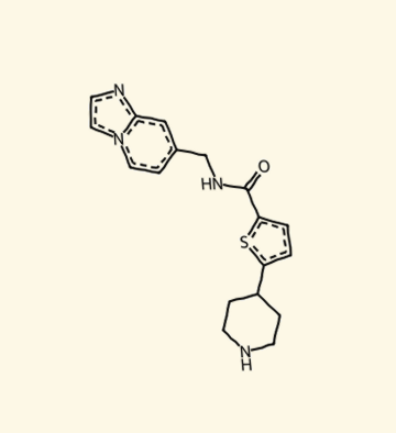 O=C(NCc1ccn2ccnc2c1)c1ccc(C2CCNCC2)s1